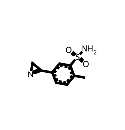 Cc1ccc(C2=NC2)cc1S(N)(=O)=O